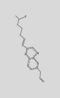 C=CCc1ccc2nc(C=CCCCC(C)F)cnc2c1